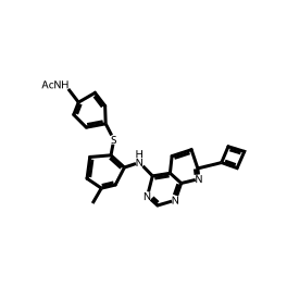 CC(=O)Nc1ccc(Sc2ccc(C)cc2Nc2ncnc3nc(C4=CC=C4)ccc23)cc1